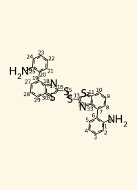 Nc1ccccc1-c1cccc2sc(SSc3nc4c(-c5ccccc5N)cccc4s3)nc12